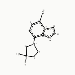 FC1(F)CCN(c2cnc(Cl)n3cnnc23)C1